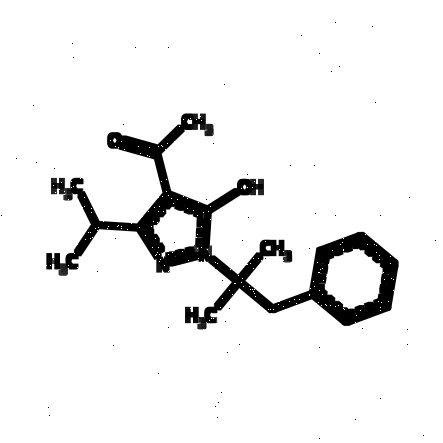 CC(=O)c1c(C(C)C)nn(C(C)(C)Cc2ccccc2)c1O